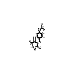 COC(=O)[C@H](Cc1ccc(OC(C)C)cc1)NC(C)C